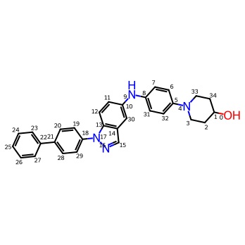 OC1CCN(c2ccc(Nc3ccc4c(cnn4-c4ccc(-c5ccccc5)cc4)c3)cc2)CC1